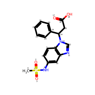 CS(=O)(=O)Nc1ccc2c(c1)ncn2C(CC(=O)O)c1ccccc1